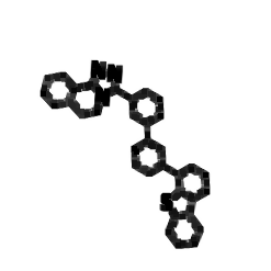 c1cc(-c2cccc(-c3nnc4c5ccccc5ccn34)c2)cc(-c2cccc3c2sc2ccccc23)c1